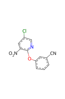 N#Cc1cccc(Oc2ncc(Cl)cc2[N+](=O)[O-])c1